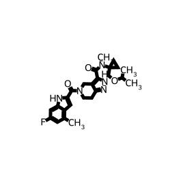 Cc1cc(F)cc2[nH]c(C(=O)N3CCc4n[nH]c(C(=O)N(C)C5(COC(C)C)CC5)c4C3)cc12